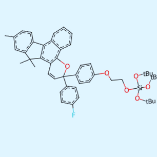 Cc1ccc2c(c1)C(C)(C)c1c3c(c4ccccc4c1-2)OC(c1ccc(F)cc1)(c1ccc(OCCO[Si](OC(C)(C)C)(OC(C)(C)C)OC(C)(C)C)cc1)C=C3